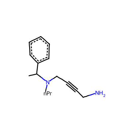 CCCN(CC#CCN)C(C)c1ccccc1